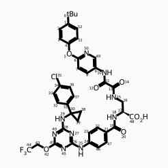 CC(C)(C)c1ccc(Oc2ccc(NC(=O)C(=O)NC[C@H](NC(=O)c3ccc(Nc4nc(NC5(c6ccc(Cl)cc6)CC5)nc(OCC(F)(F)F)n4)cc3)C(=O)O)cn2)cc1